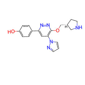 Oc1ccc(-c2cc(-n3cccn3)c(OC[C@@H]3CCNC3)nn2)cc1